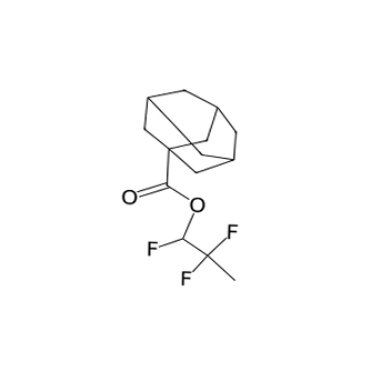 CC(F)(F)C(F)OC(=O)C12CC3CC(CC(C3)C1)C2